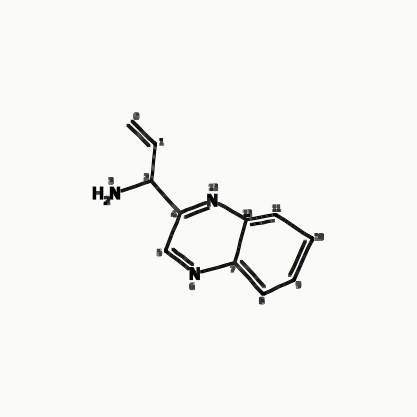 C=CC(N)c1cnc2ccccc2n1